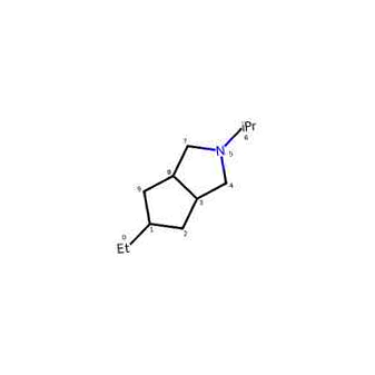 CCC1CC2CN(C(C)C)CC2C1